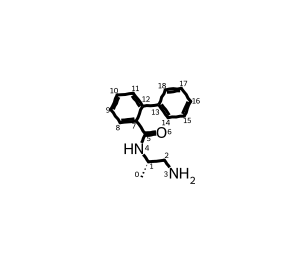 C[C@@H](CN)NC(=O)c1ccccc1-c1ccccc1